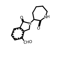 O=Cc1cccc2c1CN(C1CCCCNC1=O)C2=O